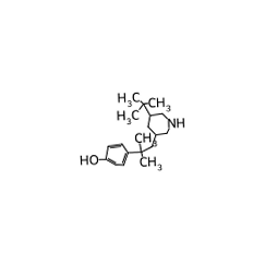 CC(C)(CC1CNCC(C(C)(C)C)C1)c1ccc(O)cc1